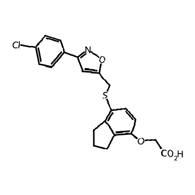 O=C(O)COc1ccc(SCc2cc(-c3ccc(Cl)cc3)no2)c2c1CCC2